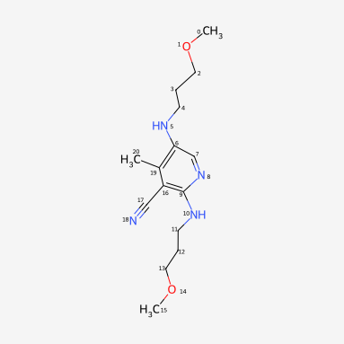 COCCCNc1cnc(NCCCOC)c(C#N)c1C